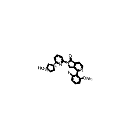 COc1cccc(F)c1-c1nccc2c1CN(c1cccc([C@H]3CC[C@H](O)C3)n1)C2=O